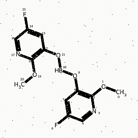 COc1ncc(F)cc1OBOc1cc(F)cnc1OC